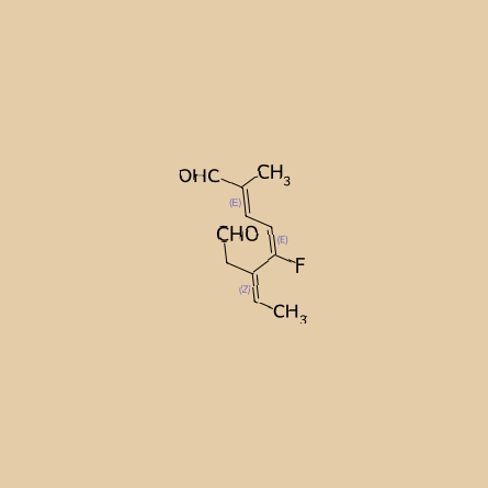 C\C=C(CC=O)/C(F)=C\C=C(/C)C=O